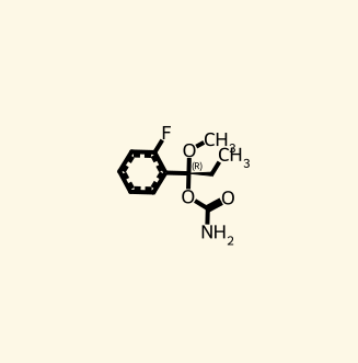 CC[C@@](OC)(OC(N)=O)c1ccccc1F